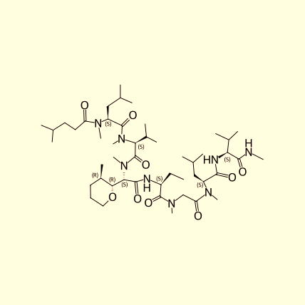 CC[C@H](NC(=O)[C@H]([C@@H]1OCCC[C@H]1C)N(C)C(=O)[C@H](C(C)C)N(C)C(=O)[C@H](CC(C)C)N(C)C(=O)CCC(C)C)C(=O)N(C)CC(=O)N(C)[C@@H](CC(C)C)C(=O)N[C@H](C(=O)NC)C(C)C